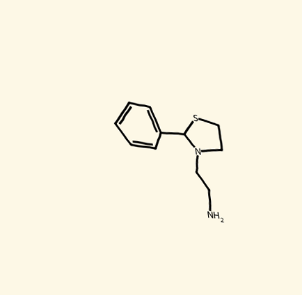 NCCN1CCSC1c1ccccc1